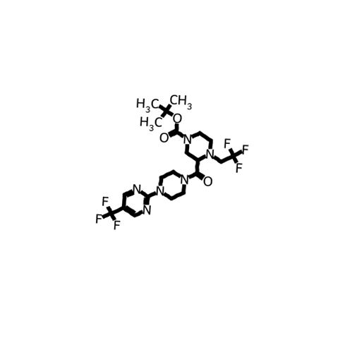 CC(C)(C)OC(=O)N1CCN(CC(F)(F)F)C(C(=O)N2CCN(c3ncc(C(F)(F)F)cn3)CC2)C1